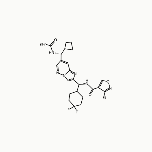 CCCC(=O)N[C@@H](c1cnn2cc([C@@H](NC(=O)c3conc3CC)C3CCC(F)(F)CC3)nc2c1)C1CCC1